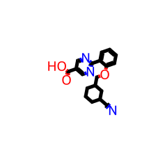 N#CC1CCCC(COc2ccccc2-c2ncc(C(=O)O)cn2)C1